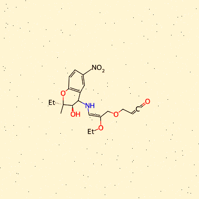 CCO/C(=C/NC1c2cc([N+](=O)[O-])ccc2O[C@@](C)(CC)[C@@H]1O)COCC=C=O